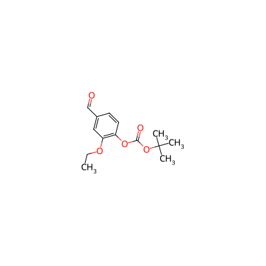 CCOc1cc(C=O)ccc1OC(=O)OC(C)(C)C